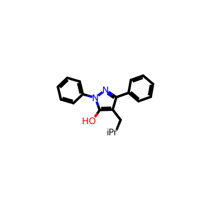 CC(C)Cc1c(-c2ccccc2)nn(-c2ccccc2)c1O